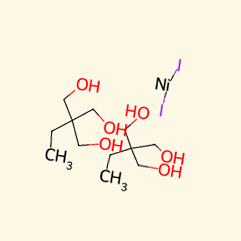 CCC(CO)(CO)CO.CCC(CO)(CO)CO.[I][Ni][I]